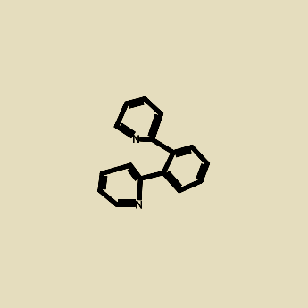 c1ccc(-c2ccccc2-c2ccccn2)nc1